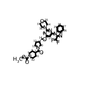 COC(=O)N1CCC(C(=O)N2CC[C@H](COc3cc(-n4c(C(F)F)nc5ccccc54)nc(N4CCOCC4)n3)C2)CC1